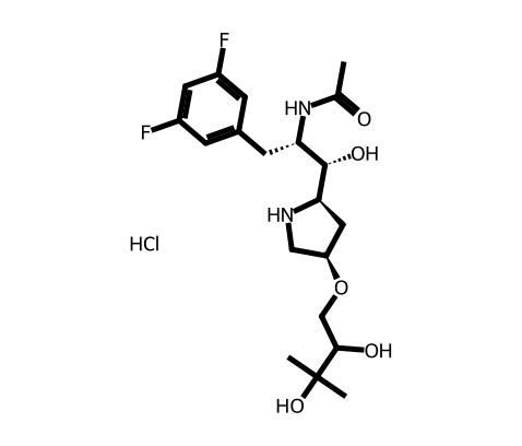 CC(=O)N[C@@H](Cc1cc(F)cc(F)c1)[C@H](O)[C@H]1C[C@@H](OCC(O)C(C)(C)O)CN1.Cl